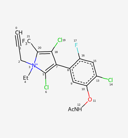 C#CC[N+]1(CC)C(Cl)=C(c2cc(ONC(C)=O)c(Cl)cc2F)C(Cl)=C1C(F)(F)F